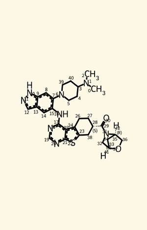 CN(C)C1CCN(c2cc3[nH]ncc3cc2Nc2ncnc3sc4c(c23)CC[C@H](C(=O)N2C[C@H]3C[C@@H]2CO3)C4)CC1